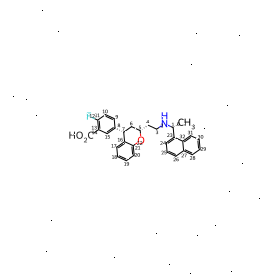 C[C@@H](NCC[C@H]1C[C@@H](c2ccc(F)c(C(=O)O)c2)c2ccccc2O1)c1cccc2ccccc12